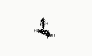 Cc1cnc(NC(=O)CCC[C@@H]2C/C(=N\O)[C@@]3(C)CCC4c5cc(F)c(O)cc5CCC4C23)s1